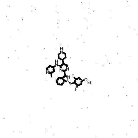 CCOc1cc(F)c(Cn2nc(-c3ncc(C4CCNCC4)c(Nc4ccnc(C)c4)n3)c3ccccc32)c(F)c1